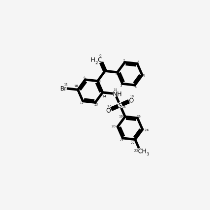 C=C(c1ccccc1)c1cc(Br)ccc1NS(=O)(=O)c1ccc(C)cc1